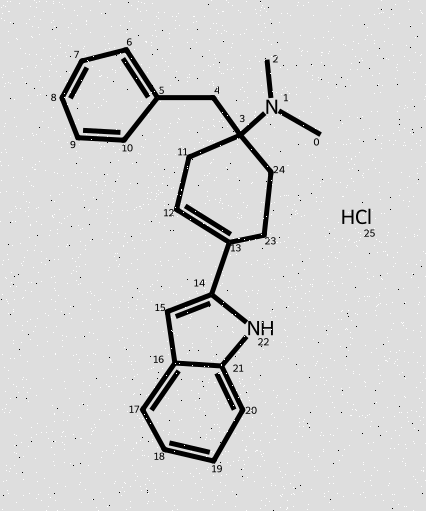 CN(C)C1(Cc2ccccc2)CC=C(c2cc3ccccc3[nH]2)CC1.Cl